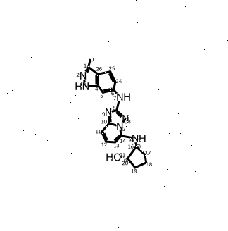 Cc1n[nH]c2cc(Nc3nc4cccc(N[C@H]5CCC[C@@H]5O)n4n3)ccc12